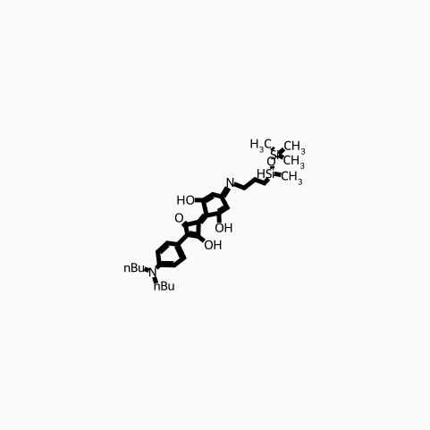 CCCCN(CCCC)c1ccc(C2=C(O)C(=C3C(O)=CC(=NCCC[SiH](C)O[Si](C)(C)C)C=C3O)C2=O)cc1